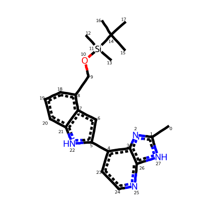 Cc1nc2c(-c3cc4c(CO[Si](C)(C)C(C)(C)C)cccc4[nH]3)ccnc2[nH]1